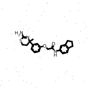 CC1(c2cccc(OCC(=O)Nc3ccc4c(c3)CCC4)c2)CCSC(N)=N1